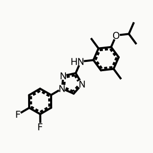 Cc1cc(Nc2ncn(-c3ccc(F)c(F)c3)n2)c(C)c(OC(C)C)c1